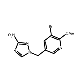 COc1ncc(Cn2cnc([N+](=O)[O-])n2)cc1Br